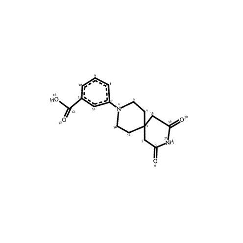 O=C1CC2(CCN(c3cccc(C(=O)O)c3)CC2)CC(=O)N1